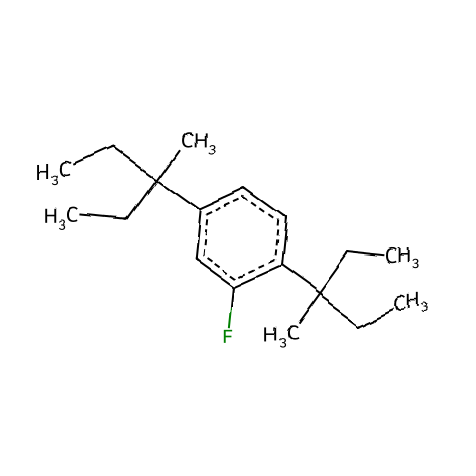 CCC(C)(CC)c1ccc(C(C)(CC)CC)c(F)c1